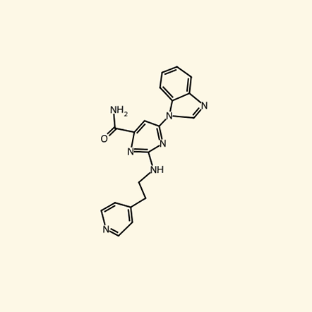 NC(=O)c1cc(-n2cnc3ccccc32)nc(NCCc2ccncc2)n1